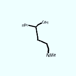 CCCC(O)CCNC